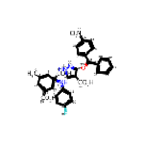 CC1=CC(Nc2ccc(F)cc2)(C(=O)O)CC(C(=O)O)=C1.O=C(O)c1cn[nH]c1.O=C(c1ccccc1)c1ccc([N+](=O)[O-])cc1